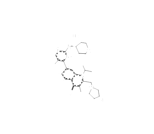 Cc1c(CN2CC[C@@H](F)C2)n(C(C)C)c2cc(-c3nc(N[C@@H]4CCOC[C@H]4O)ncc3F)ccc2c1=O